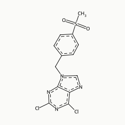 CS(=O)(=O)c1ccc(Cn2cnc3c(Cl)nc(Cl)nc32)cc1